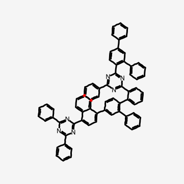 c1ccc(-c2ccc(-c3nc(-c4ccccc4)nc(-c4ccccc4-c4ccc(-c5ccc(-c6nc(-c7ccccc7)nc(-c7ccccc7)n6)c6ccccc56)cc4-c4ccccc4)n3)c(-c3ccccc3)c2)cc1